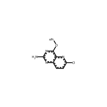 CCCOc1nc(N)nc2ccc(Cl)nc12